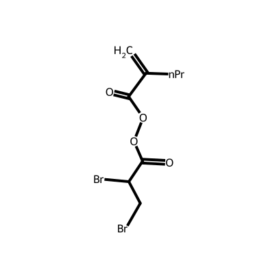 C=C(CCC)C(=O)OOC(=O)C(Br)CBr